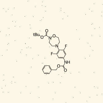 CC(C)(C)OC(=O)N1CCN(c2c(F)cc(NC(=O)OCc3ccccc3)cc2F)CCO1